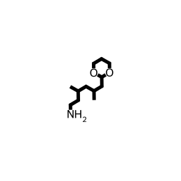 CC(CCN)CC(C)CC1OCCCO1